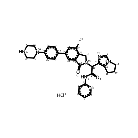 Cl.O=C(Nc1ccccn1)C(c1ncn2c1CCC2)N1Cc2c(F)cc(-c3ccc(N4CCNCC4)cc3)cc2C1=O